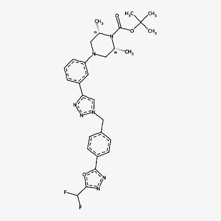 C[C@@H]1CN(c2cccc(-c3cn(Cc4ccc(-c5nnc(C(F)F)o5)cc4)nn3)c2)C[C@H](C)N1C(=O)OC(C)(C)C